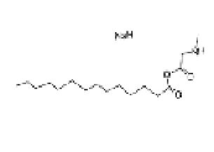 CCCCCCCCCCCCCC(=O)OC(=O)CNC.[NaH]